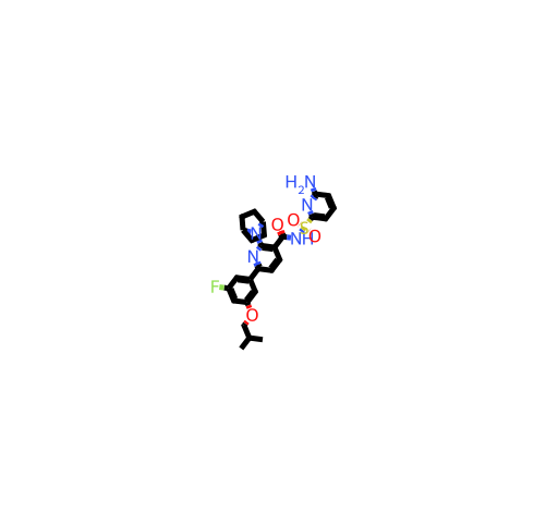 CC(C)COc1cc(F)cc(-c2ccc(C(=O)NS(=O)(=O)c3cccc(N)n3)c(N3C4CCC3CC4)n2)c1